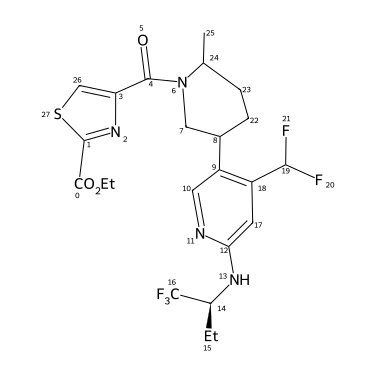 CCOC(=O)c1nc(C(=O)N2CC(c3cnc(N[C@@H](CC)C(F)(F)F)cc3C(F)F)CCC2C)cs1